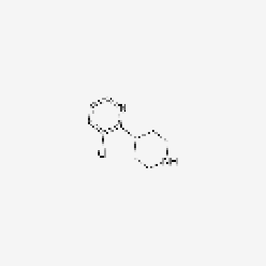 Clc1cccnc1C1CCNCC1